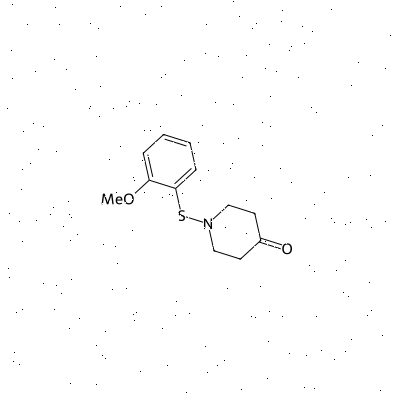 COc1ccccc1SN1CCC(=O)CC1